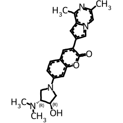 Cc1cn2cc(-c3cc4ccc(N5C[C@@H](O)[C@H](N(C)C)C5)cc4oc3=O)cc2c(C)n1